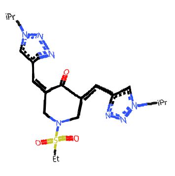 CCS(=O)(=O)N1CC(=Cc2cn(C(C)C)nn2)C(=O)C(=Cc2cn(C(C)C)nn2)C1